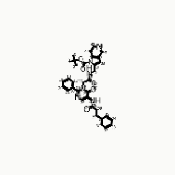 CC(C)(C)OC(=O)n1c(CNC(=O)Cn2c(-c3ccccc3)ncc(NC(=O)CCc3ccccc3)c2=O)cc2cnccc21